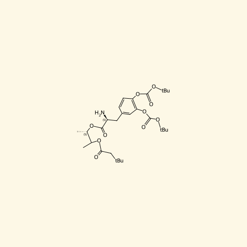 CC(OC(=O)CC(C)(C)C)[C@H](C)OC(=O)[C@@H](N)Cc1ccc(OC(=O)OC(C)(C)C)c(OC(=O)OC(C)(C)C)c1